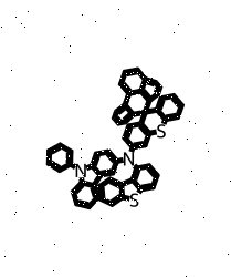 c1ccc(-n2c3ccccc3c3cc(N(c4ccc5c(c4)Sc4ccccc4C54c5ccccc5-c5cccc6cccc4c56)c4cccc5sc6ccccc6c45)ccc32)cc1